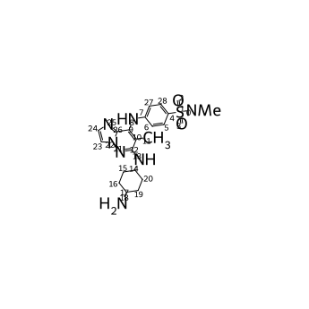 CNS(=O)(=O)c1ccc(Nc2c(C)c(N[C@H]3CC[C@H](N)CC3)nn3ccnc23)cc1